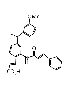 COc1cccc(C(C)c2ccc(C=CC(=O)O)c(NC(=O)C=Cc3ccccc3)c2)c1